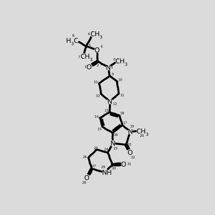 CN(C(=O)OC(C)(C)C)C1CCN(c2ccc3c(c2)n(C)c(=O)n3C2CCC(=O)NC2=O)CC1